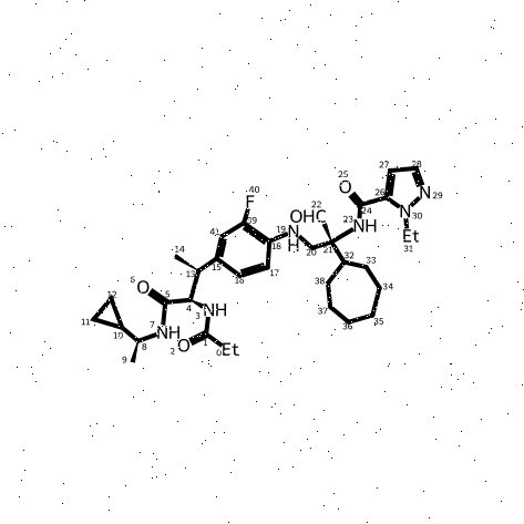 CCC(=O)N[C@@H](C(=O)N[C@@H](C)C1CC1)[C@@H](C)c1ccc(NC[C@](C=O)(NC(=O)c2ccnn2CC)C2CCCCCC2)c(F)c1